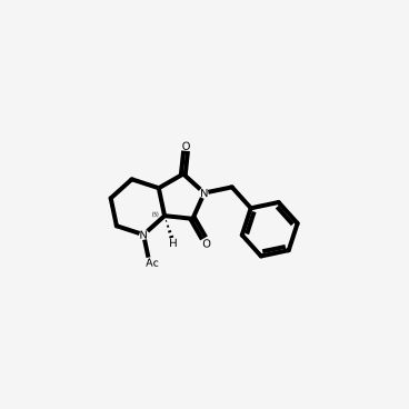 CC(=O)N1CCCC2C(=O)N(Cc3ccccc3)C(=O)[C@H]21